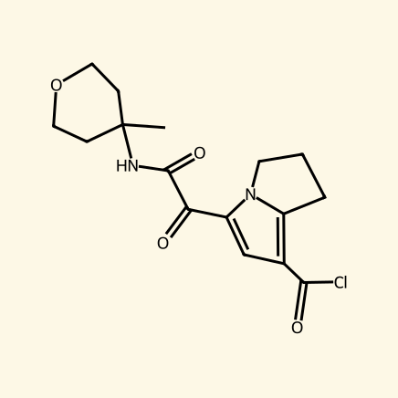 CC1(NC(=O)C(=O)c2cc(C(=O)Cl)c3n2CCC3)CCOCC1